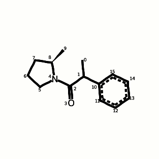 CC(C(=O)N1CCC[C@H]1C)c1ccccc1